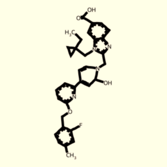 CCC1(Cn2c(CN3C=CC(c4cccc(OCc5ccc(C)cc5F)n4)=CC3O)nc3ccc(C(=O)O)cc32)CC1